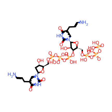 NC=CCc1cn([C@@H]2O[C@H](COP(=O)(O)OP(=O)(O)OP(=O)(O)O)[C@@H](OP(=O)(O)OP(=O)(O)OP(=O)(O)OC[C@H]3O[C@@H](n4cc(CC=CN)c(=O)[nH]c4=O)C[C@@H]3O)[C@H]2O)c(=O)[nH]c1=O